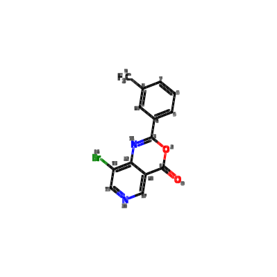 O=c1oc(-c2cccc(C(F)(F)F)c2)nc2c(Br)cncc12